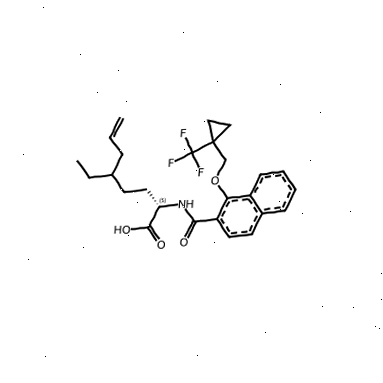 C=CCC(CC)CC[C@H](NC(=O)c1ccc2ccccc2c1OCC1(C(F)(F)F)CC1)C(=O)O